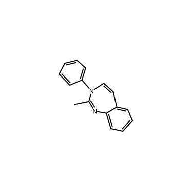 CC1=Nc2ccccc2C=CN1c1ccccc1